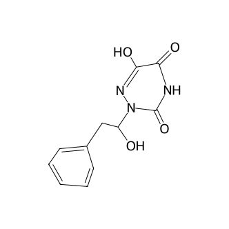 O=c1[nH]c(=O)n(C(O)Cc2ccccc2)nc1O